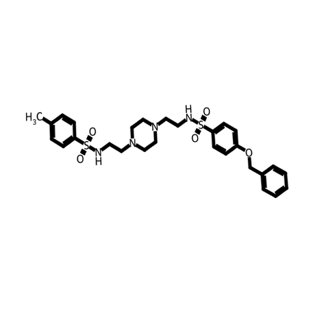 Cc1ccc(S(=O)(=O)NCCN2CCN(CCNS(=O)(=O)c3ccc(OCc4ccccc4)cc3)CC2)cc1